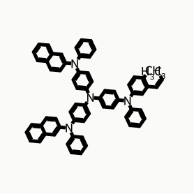 C/C=C\c1cc(N(c2ccccc2)c2ccc(N(c3ccc(N(c4ccccc4)c4ccc5ccccc5c4)cc3)c3ccc(N(c4ccccc4)c4ccc5ccccc5c4)cc3)cc2)ccc1C